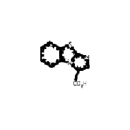 O=C(O)c1cnc2sc3ccccc3n12